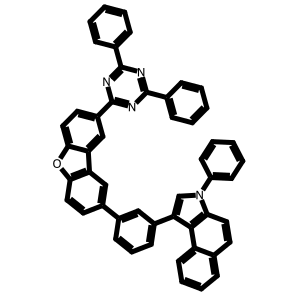 c1ccc(-c2nc(-c3ccccc3)nc(-c3ccc4oc5ccc(-c6cccc(-c7cn(-c8ccccc8)c8ccc9ccccc9c78)c6)cc5c4c3)n2)cc1